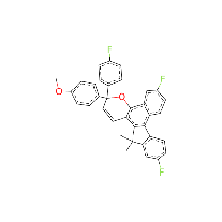 COc1ccc(C2(c3ccc(F)cc3)C=Cc3c4c(c5ccc(F)cc5c3O2)-c2ccc(F)cc2C4(C)C)cc1